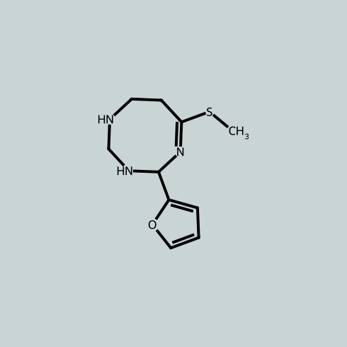 CS/C1=N/C(c2ccco2)NCNCC1